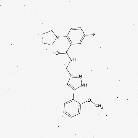 COc1ccccc1-c1cc(CNC(=O)c2cc(F)ccc2N2CCCC2)n[nH]1